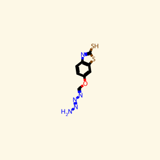 N/N=N/N=C/Oc1ccc2nc(S)sc2c1